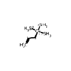 C=C[CH2][Ge]([SiH3])([SiH3])[SiH3]